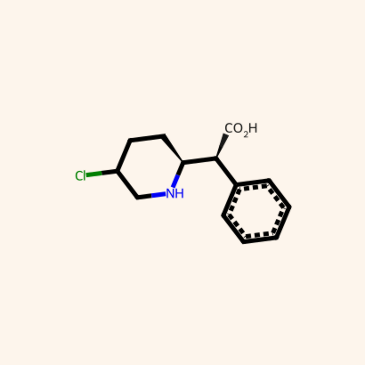 O=C(O)[C@@H](c1ccccc1)[C@@H]1CCC(Cl)CN1